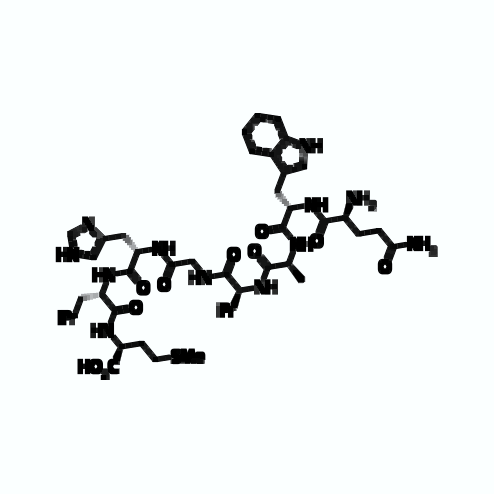 CSCC[C@H](NC(=O)[C@H](CC(C)C)NC(=O)[C@H](Cc1c[nH]cn1)NC(=O)CNC(=O)[C@@H](NC(=O)[C@H](C)NC(=O)[C@H](Cc1c[nH]c2ccccc12)NC(=O)[C@@H](N)CCC(N)=O)C(C)C)C(=O)O